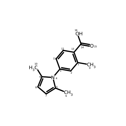 Cc1cc(-n2c(C)ccc2C)ccc1C(=O)O